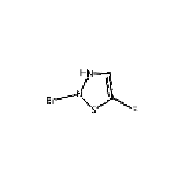 FC1=CNN(Br)S1